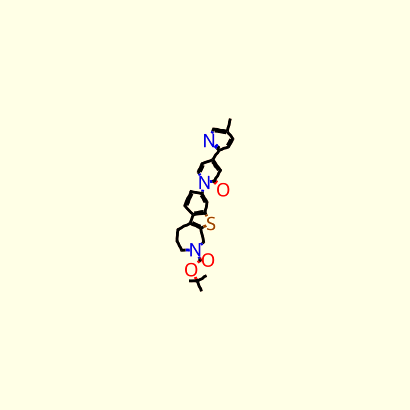 Cc1ccc(-c2ccn(-c3ccc4c5c(sc4c3)CN(C(=O)OC(C)(C)C)CCC5)c(=O)c2)nc1